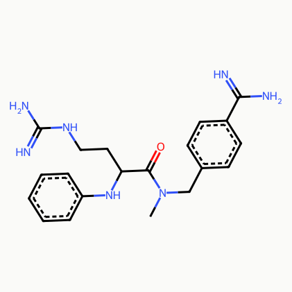 CN(Cc1ccc(C(=N)N)cc1)C(=O)C(CCNC(=N)N)Nc1ccccc1